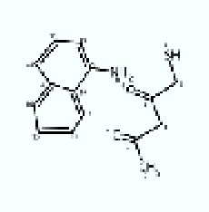 CC(=O)CC(=O)CS.Nc1cccc2ccccc12